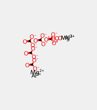 O.O.O=C([O-])[O-].O=C([O-])[O-].O=C([O-])[O-].O=C([O-])[O-].O=C([O-])[O-].[Al+3].[Al+3].[Mg+2].[Mg+2]